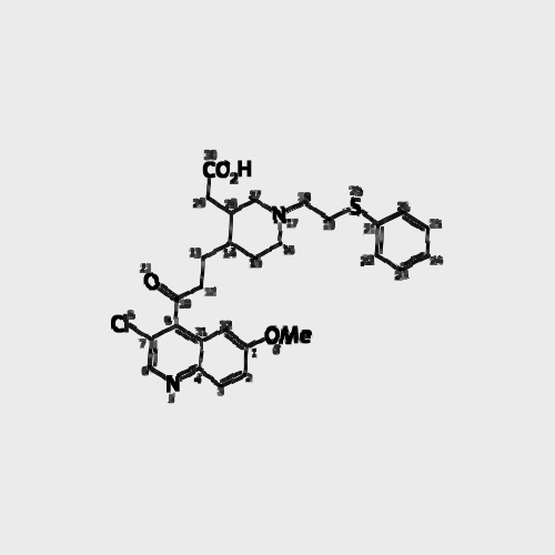 COc1ccc2ncc(Cl)c(C(=O)CCC3CCN(CCSc4ccccc4)CC3CC(=O)O)c2c1